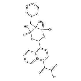 CC(C)C(=O)C(=O)c1ccc(C2OP(=O)(O)C(O)(Cc3cccnc3)P(=O)(O)O2)c2ccccc12